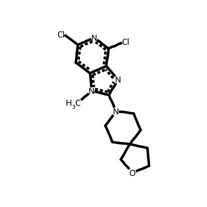 Cn1c(N2CCC3(CCOC3)CC2)nc2c(Cl)nc(Cl)cc21